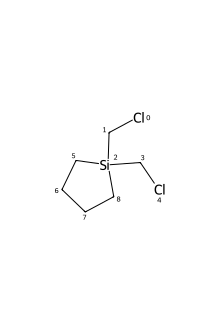 ClC[Si]1(CCl)CCCC1